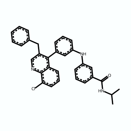 CC(C)NC(=O)c1cccc(Nc2cccc(-c3c(Cc4ccccc4)cnc4c(Cl)cccc34)c2)c1